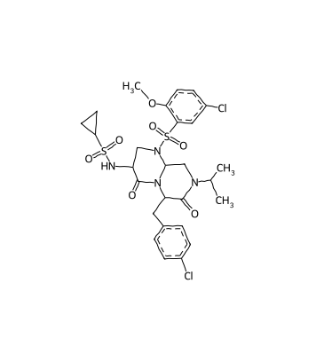 COc1ccc(Cl)cc1S(=O)(=O)N1CC(NS(=O)(=O)C2CC2)C(=O)N2C(Cc3ccc(Cl)cc3)C(=O)N(C(C)C)CC21